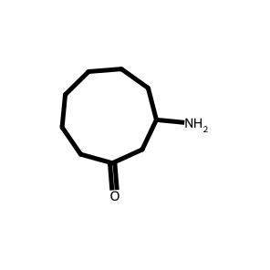 NC1CCCCCCC(=O)C1